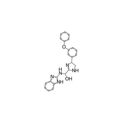 OC(Nc1nc2ccccc2[nH]1)C1=NC(c2cccc(Oc3ccccc3)c2)CN1